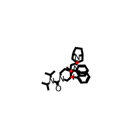 Cc1nc2ccccc2n1C1CC2CCC(C1)N2CCC1(c2ccccc2)CCN(C(=O)N(C(C)C)C(C)C)CC1